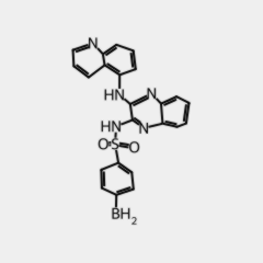 Bc1ccc(S(=O)(=O)Nc2nc3ccccc3nc2Nc2cccc3ncccc23)cc1